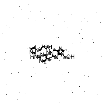 OCCn1ccnc1Nc1ncc(F)c(NN2C=Nc3c(ncn3CO)C2)n1